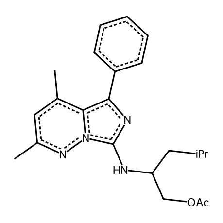 CC(=O)OCC(CC(C)C)Nc1nc(-c2ccccc2)c2c(C)cc(C)nn12